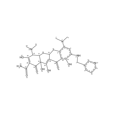 CN(C)c1cc(NCc2cccnc2)c(O)c2c1CC1CC3C(N(C)C)C(O)=C(C(N)=O)C(=O)C3(O)C(O)=C1C2=O